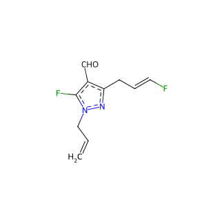 C=CCn1nc(CC=CF)c(C=O)c1F